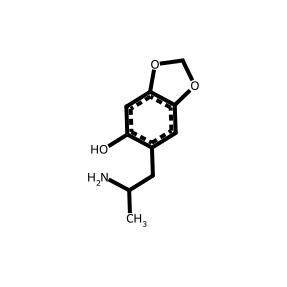 CC(N)Cc1cc2c(cc1O)OCO2